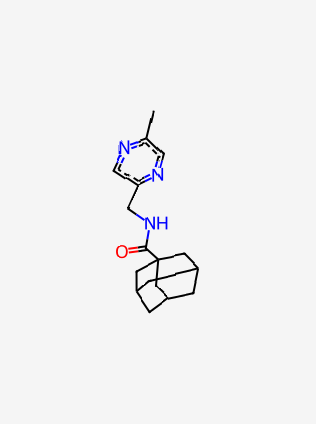 Cc1cnc(CNC(=O)C23CC4CC(CC(C4)C2)C3)cn1